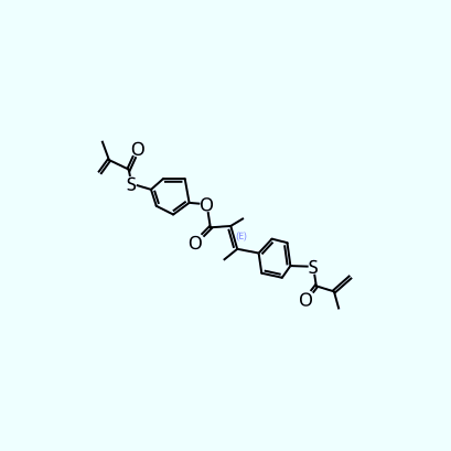 C=C(C)C(=O)Sc1ccc(OC(=O)/C(C)=C(\C)c2ccc(SC(=O)C(=C)C)cc2)cc1